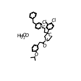 CC(C)Oc1cccc(CC(=O)N2CCCC(CC[n+]3ccc(Cc4ccccc4)cc3)(c3ccc(Cl)c(Cl)c3)C2)c1.O.O